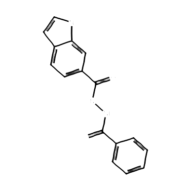 O=C(NNC(=O)c1ccc2cc[nH]c2c1)c1ccccc1